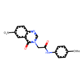 COc1ccc(NC(=O)Cn2cnc3ccc([N+](=O)[O-])cc3c2=O)cc1